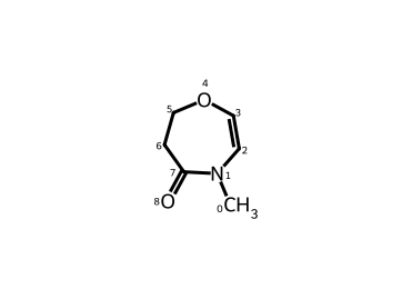 CN1C=COCCC1=O